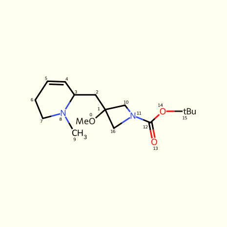 COC1(CC2C=CCCN2C)CN(C(=O)OC(C)(C)C)C1